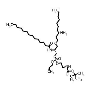 C=CCOP(=O)(OCCNC(=O)OC(C)(C)C)OC[C@@H](COCC[C@H](N)CCCCCCC)NC(=O)CCCCCCCCCCCCC